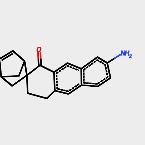 Nc1ccc2cc3c(cc2c1)C(=O)C1(CC3)CC2C=CC1C2